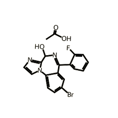 CC(=O)O.OC1N=C(c2ccccc2F)c2cc(Br)ccc2-n2ccnc21